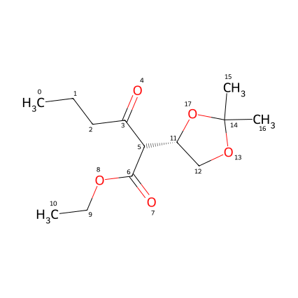 CCCC(=O)C(C(=O)OCC)[C@H]1COC(C)(C)O1